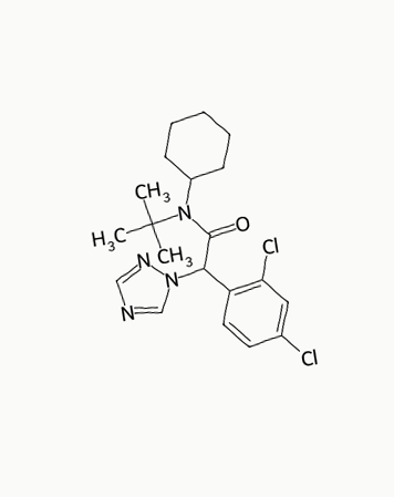 CC(C)(C)N(C(=O)C(c1ccc(Cl)cc1Cl)n1cncn1)C1CCCCC1